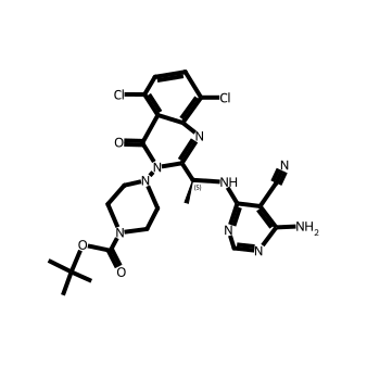 C[C@H](Nc1ncnc(N)c1C#N)c1nc2c(Cl)ccc(Cl)c2c(=O)n1N1CCN(C(=O)OC(C)(C)C)CC1